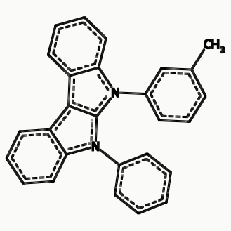 Cc1cccc(-n2c3ccccc3c3c4ccccc4n(-c4ccccc4)c32)c1